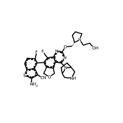 N#Cc1c(N)sc2ccc(F)c(-c3c4c(c5c(N6C7CCC6CNC7)nc(OC[C@@H]6CCCN6CCO)nc5c3F)COC4)c12